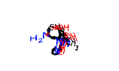 CC(COCC(=O)N1CCCCC1)c1c(O)cc(O)c2c1CC(=N)/C=C/C[C@H](N)/C=C/C[C@@H](C)OC2=O